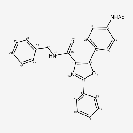 CC(=O)Nc1ccc(-c2oc(-c3ccccc3)nc2C(=O)NCc2ccccc2)cc1